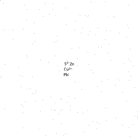 [Cu+2].[Pb].[S-2].[Zn]